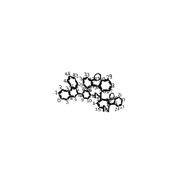 c1ccc2c(c1)cc(-c1ccc(N(c3ccnc4c3oc3ccccc34)c3cccc4oc5ccccc5c34)cc1)c1ccccc12